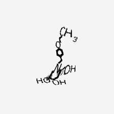 CCCCOc1ccc(CCN2C[C@H](O)C(O)C[C@@H]2CO)cc1